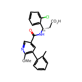 COc1ncc(C(=O)N[C@@H](CC(=O)O)c2ccccc2Cl)cc1-c1ccccc1C